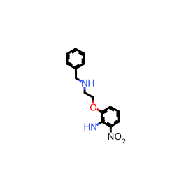 [NH]c1c(OCCNCc2ccccc2)cccc1[N+](=O)[O-]